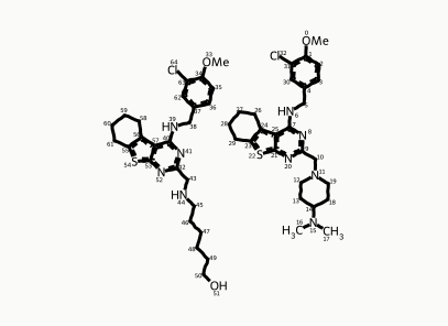 COc1ccc(CNc2nc(CN3CCC(N(C)C)CC3)nc3sc4c(c23)CCCC4)cc1Cl.COc1ccc(CNc2nc(CNCCCCCCO)nc3sc4c(c23)CCCC4)cc1Cl